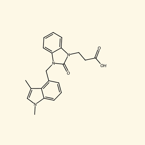 Cc1cn(C)c2cccc(Cn3c(=O)n(CCC(=O)O)c4ccccc43)c12